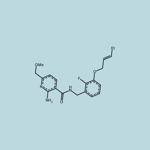 CCC=CCOc1cccc(CNC(=O)c2ccc(COC)nc2N)c1F